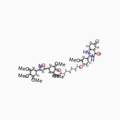 CCCC(CCCCCCOc1ccc(C2NC(=O)c3cc(Cl)ccc3N2)cc1OC)Oc1c(OC)cc(-c2cc(-c3cc(OC)c(OC)c(OC)c3)no2)cc1OC